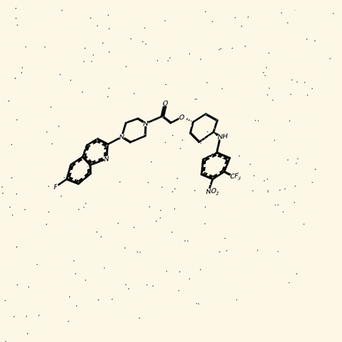 O=C(CO[C@H]1CC[C@H](Nc2ccc([N+](=O)[O-])c(C(F)(F)F)c2)CC1)N1CCN(c2ccc3cc(F)ccc3n2)CC1